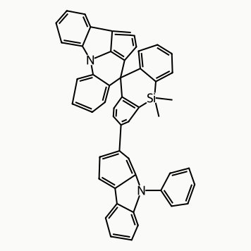 C[Si]1(C)c2ccccc2C2(c3ccccc3-n3c4ccccc4c4cccc2c43)c2ccc(-c3ccc4c5ccccc5n(-c5ccccc5)c4c3)cc21